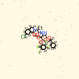 CC[C@@H](C(=O)NC(CC(=O)OC(C)(C)c1ccccc1)C(=O)COc1c(F)c(F)cc(F)c1F)n1ccc2ccc(Cl)cc2c1=O